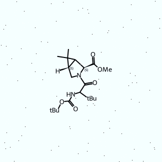 COC(=O)[C@@H]1C2[C@H](CN1C(=O)C(NC(=O)OC(C)(C)C)C(C)(C)C)C2(C)C